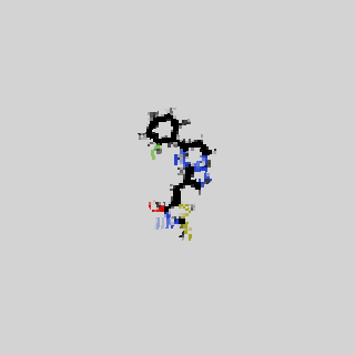 O=C1NC(=S)S/C1=C\c1cnn2ccc(-c3ccccc3F)nc12